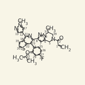 C=CC(=O)N1Cc2cc(-c3nc(-c4cnn(C)c4)c4ccsc4c3-c3ccc(F)cc3OC(C)C)nn2C(C)C1